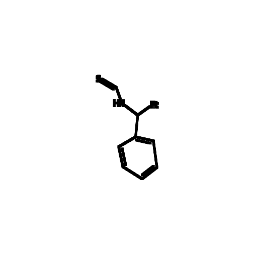 CCC(NC=S)c1ccccc1